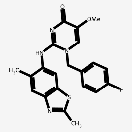 COc1cn(Cc2ccc(F)cc2)c(Nc2cc3sc(C)nc3cc2C)nc1=O